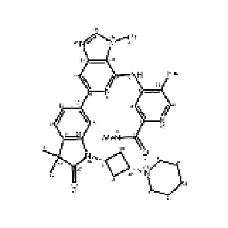 CNC(=O)c1cc(Nc2nc(-c3ccc4c(c3)N([C@H]3C[C@@H](N5CCCCC5)C3)C(=O)C4(C)C)cc3ncn(C(C)C)c23)c(F)cn1